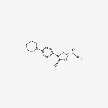 NC(=O)[C@H]1CN(c2ccc(N3CCCCC3)cc2)C(=O)O1